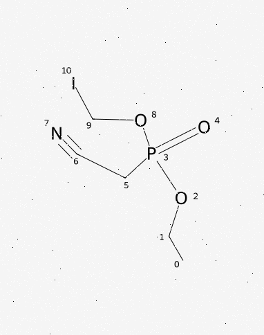 CCOP(=O)(CC#N)OCI